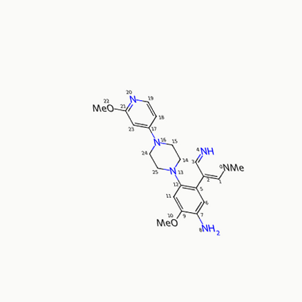 CN/C=C(\C=N)c1cc(N)c(OC)cc1N1CCN(c2ccnc(OC)c2)CC1